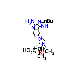 CCCCc1nc2c(N)nc3ccc(N4CCN(CC(C)(C)OC(C)(C)CC(=O)O)CC4)cc3c2[nH]1